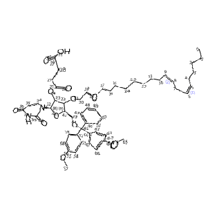 CCCCC/C=C\C/C=C\CCCCCCCCOCCOC1C(OC(=O)CCC(=O)O)[C@H](n2ccc(=O)[nH]c2=O)O[C@@H]1COC(c1ccccc1)(c1ccc(OC)cc1)c1ccc(OC)cc1